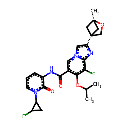 CC(C)Oc1c(C(=O)Nc2cccn(C3CC3F)c2=O)cn2cc([C@]34CO[C@](C)(C3)C4)nc2c1F